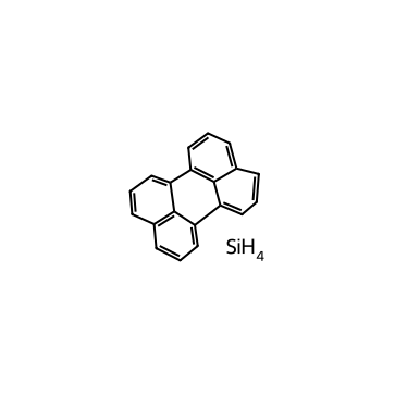 [SiH4].c1cc2cccc3c4cccc5cccc(c(c1)c23)c54